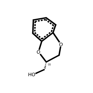 OC[C@H]1COc2ccccc2O1